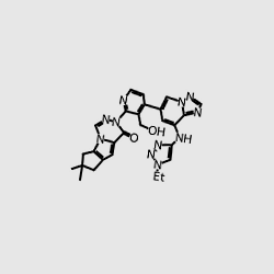 CCn1cc(Nc2cc(-c3ccnc(-n4ncn5c6c(cc5c4=O)CC(C)(C)C6)c3CO)cn3ncnc23)nn1